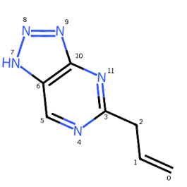 C=CCc1ncc2[nH]nnc2n1